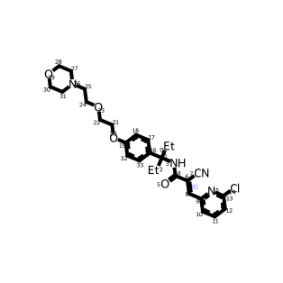 CCC(CC)(NC(=O)/C(C#N)=C/c1cccc(Cl)n1)c1ccc(OCCOCCN2CCOCC2)cc1